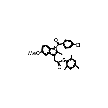 COc1ccc2c(c1)c(CC(=O)Sc1c(C)cc(C)cc1C)c(C)n2C(=O)c1ccc(Cl)cc1